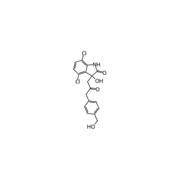 O=C(Cc1ccc(CO)cc1)CC1(O)C(=O)Nc2c(Cl)ccc(Cl)c21